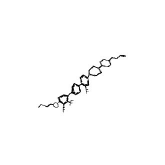 C=CCCC1CCC(C2CCC(c3ccc(-c4ccc(-c5ccc(OCCCC)c(F)c5F)cc4)c(F)c3)CC2)CC1